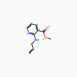 C=CCNc1ncccc1C(=O)OC